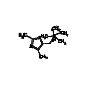 Cc1nc(C)c(C[SH](C)(C)(C)C)s1